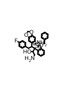 NCC(O)C(c1ccccc1OCc1ccccc1)(C(Cc1ccc(F)cc1)c1ccc2c(c1)OCO2)S(N)(=O)=O